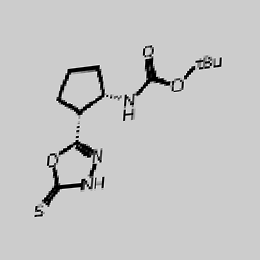 CC(C)(C)OC(=O)N[C@H]1CCC[C@H]1c1n[nH]c(=S)o1